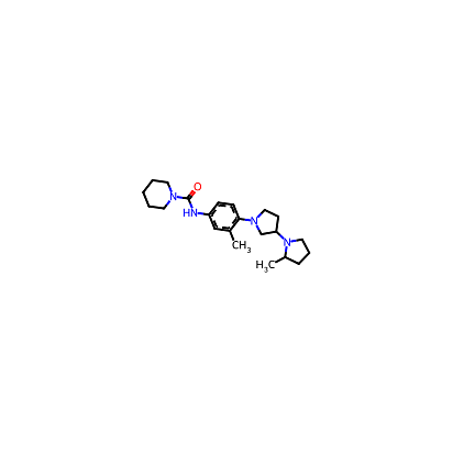 Cc1cc(NC(=O)N2CCCCC2)ccc1N1CCC(N2CCCC2C)C1